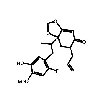 C=CC[C@H]1C[C@]2(C(C)Cc3cc(O)c(OC)cc3F)OCOC2=CC1=O